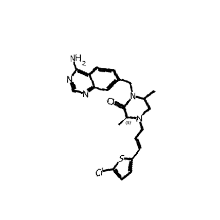 CC1CN(CC=Cc2ccc(Cl)s2)[C@@H](C)C(=O)N1Cc1ccc2c(N)ncnc2c1